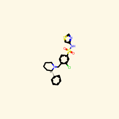 O=S(=O)(Nc1cscn1)c1ccc(CN2CCCC[C@H]2c2ccccc2)c(Cl)c1